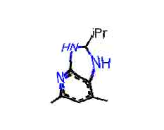 Cc1cc(C)c2c(n1)NC(C(C)C)N2